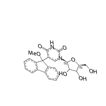 COC1(c2cn([C@H]3O[C@@H](CO)C(O)C3O)c(=O)[nH]c2=O)c2ccccc2-c2ccccc21